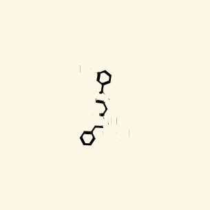 O=C(Cc1csc(-c2cccc(C(F)(F)F)c2)n1)N[C@H](Cc1ccccc1)C(=O)O